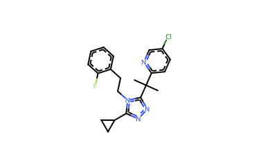 CC(C)(c1ccc(Cl)cn1)c1nnc(C2CC2)n1CCc1ccccc1F